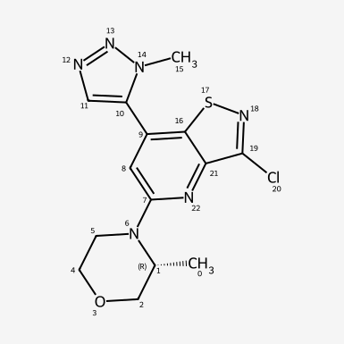 C[C@@H]1COCCN1c1cc(-c2cnnn2C)c2snc(Cl)c2n1